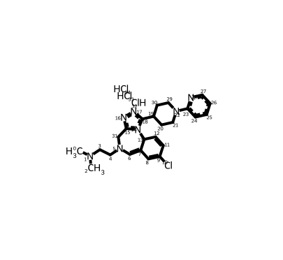 CN(C)CCN1C=C2C=C(Cl)C=CC2n2c(nnc2C2CCN(c3ccccn3)CC2)C1.Cl.Cl.Cl